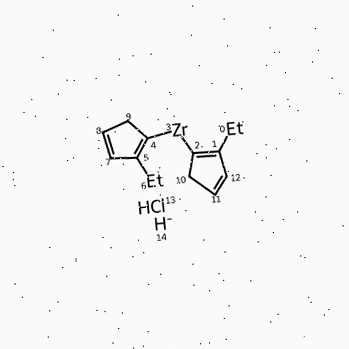 CCC1=[C]([Zr][C]2=C(CC)C=CC2)CC=C1.Cl.[H-]